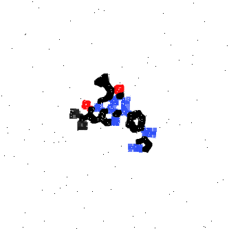 CCC(CC)c1cc2cnc(Nc3ccc(NC4CCNC4)cc3)nc2n(Cc2ncoc2C2CC2)c1=O